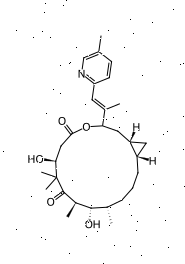 C/C(=C\c1ccc(C)cn1)C1C[C@@H]2C[C@@H]2CCC[C@H](C)[C@H](O)[C@@H](C)C(=O)C(C)(C)[C@@H](O)CC(=O)O1